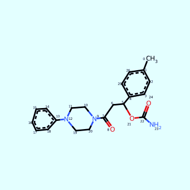 Cc1ccc(C(CC(=O)N2CCN(c3ccccc3)CC2)OC(N)=O)cc1